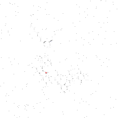 CCCCCCCCCCCCC/C=C/[C@@H](O)[C@H](CO[C@@H]1OC(CO)[C@@H](O[C@@H]2OC(CO)[C@H](O)[C@H](O[C@@H]3OC(CO)[C@@H](O[C@@H]4OC(CO)[C@H](O)[C@H](O[C@H]5OC(CO)[C@H](O)[C@H](O[C@@H]6OC(CO)[C@H](O)[C@H](O)C6O)C5NC(C)=O)C4O[C@H]4OC(C)[C@@H](O)C(O)[C@@H]4O)[C@H](O)C3NC(C)=O)C2O)[C@H](O)C1O)NC(=O)CCCCCCCCCCCCCCCCC